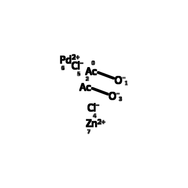 CC(=O)[O-].CC(=O)[O-].[Cl-].[Cl-].[Pd+2].[Zn+2]